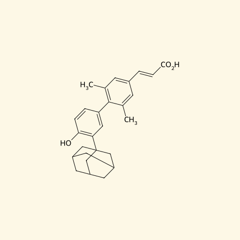 Cc1cc(C=CC(=O)O)cc(C)c1-c1ccc(O)c(C23CC4CC(CC(C4)C2)C3)c1